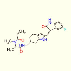 C=CC(=O)N(C)C(C)C(=O)NCC1CCc2cc(/C=C3\C(=O)Nc4ccc(F)cc43)[nH]c2C1